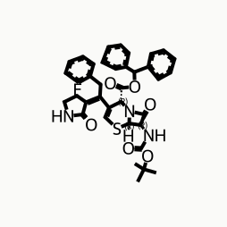 CC(C)(C)OC(=O)N[C@@H]1C(=O)N2[C@@H](C(=O)OC(c3ccccc3)c3ccccc3)C(C(Cc3ccccc3F)=C3CCNC3=O)=CS[C@H]12